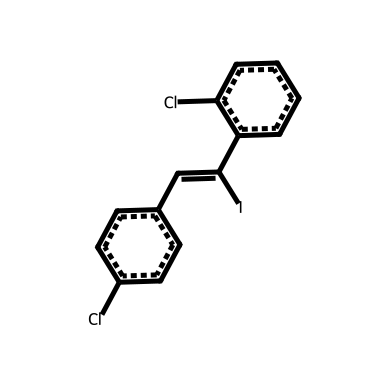 Clc1ccc(C=C(I)c2ccccc2Cl)cc1